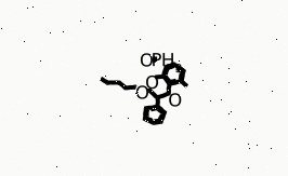 CCCCCOC(=O)C(C(=O)c1c(C)cccc1C)c1ccccc1.O=[PH3]